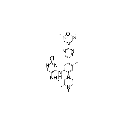 CC1CN(c2cc(F)c(-c3cnc(N4C[C@@H](C)O[C@@H](C)C4)nc3)cc2Nc2nc(Cl)ncc2N)CCN1C